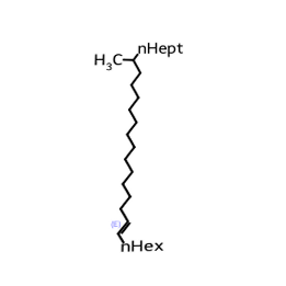 [CH2]CCCCC/C=C/CCCCCCCCCCCCC(C)CCCCCC[CH2]